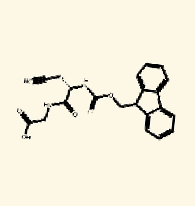 C#CC[C@H](NC(=O)OCC1c2ccccc2-c2ccccc21)C(=O)NCC(=O)O